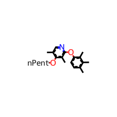 CCCCCOc1c(C)cnc(Oc2ccc(C)c(C)c2C)c1C